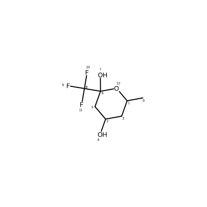 CC1CC(O)CC(O)(C(F)(F)F)O1